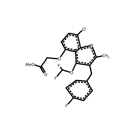 COC(=O)COc1ccc(Cl)c2nc(C)c(Cc3ccc(F)cc3)c(OC(F)F)c12